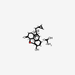 NC(=O)O.O=C1CC[C@@]2(O)[C@H]3Cc4ccc(O)c5c4[C@@]2(CCN3CC2CC2)[C@H]1O5